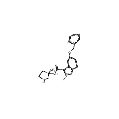 Cn1nc2ccc(OCc3ccccn3)cc2c1C(=O)NC1(C(F)(F)F)CCNC1